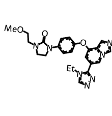 CCn1cnnc1-c1cc(Oc2ccc(N3CCN(CCOC)C3=O)cc2)c2cncn2c1